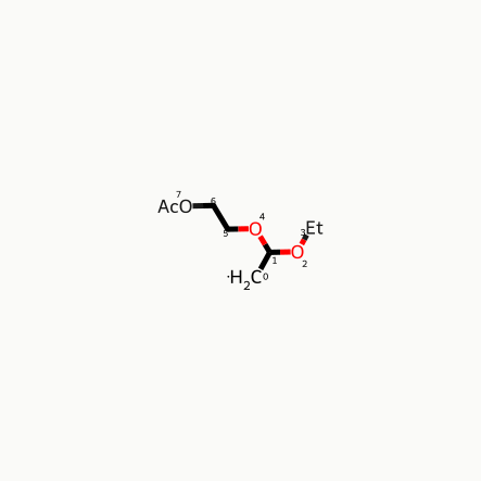 [CH2]C(OCC)OCCOC(C)=O